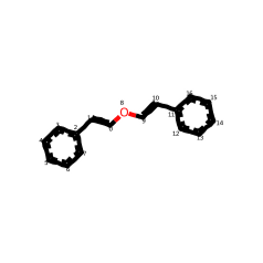 C(=Cc1ccccc1)OC=Cc1ccccc1